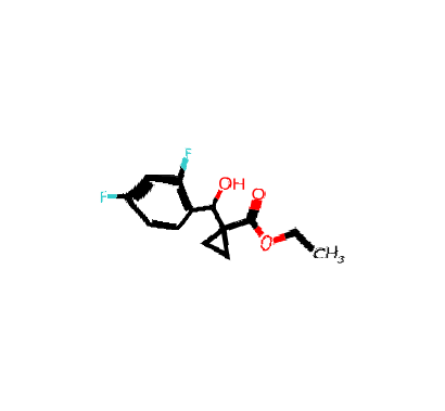 CCOC(=O)C1(C(O)c2ccc(F)cc2F)CC1